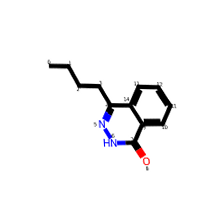 CCCCc1n[nH]c(=O)c2ccccc12